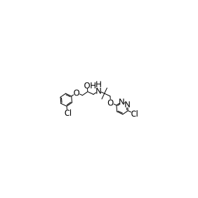 CC(C)(COc1ccc(Cl)nn1)NCC(O)COc1cccc(Cl)c1